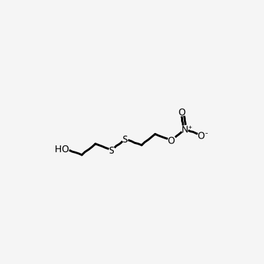 O=[N+]([O-])OCCSSCCO